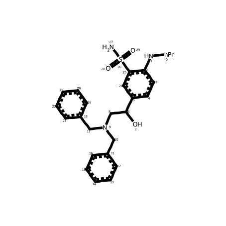 CCCNc1ccc(C(O)CN(Cc2ccccc2)Cc2ccccc2)cc1S(N)(=O)=O